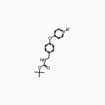 CC(C)(C)OC(=O)NCc1ccc(Oc2cc[n+]([O-])cc2)cc1